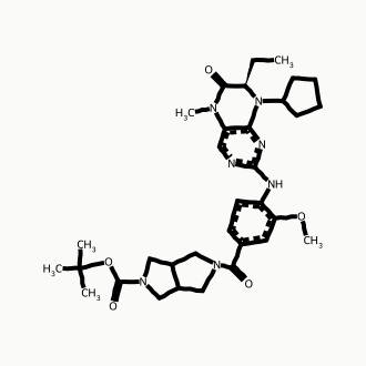 CC[C@@H]1C(=O)N(C)c2cnc(Nc3ccc(C(=O)N4CC5CN(C(=O)OC(C)(C)C)CC5C4)cc3OC)nc2N1C1CCCC1